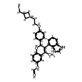 CC1=C(c2cccc3[nH]cnc23)C(c2ccc(OCCN3CC(CF)C3)cc2)Oc2ccc(OC=O)cc21